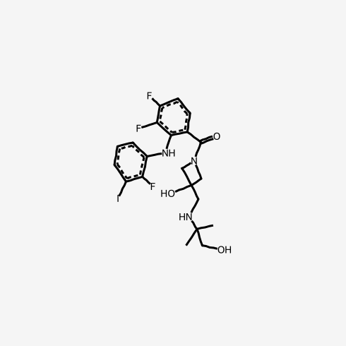 CC(C)(CO)NCC1(O)CN(C(=O)c2ccc(F)c(F)c2Nc2cccc(I)c2F)C1